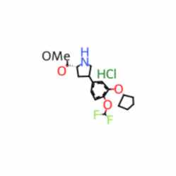 COC(=O)[C@H]1CC(c2ccc(OC(F)F)c(OC3CCCC3)c2)CN1.Cl